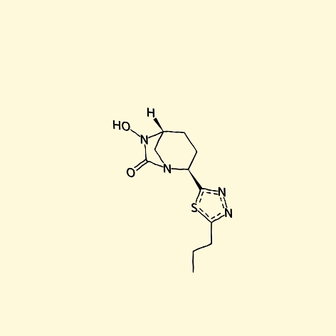 CCCc1nnc([C@@H]2CC[C@@H]3CN2C(=O)N3O)s1